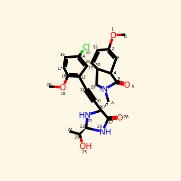 COC1=CC2C(=O)N(C[C@@]3(C#Cc4cc(Cl)ccc4OC)N[C@H](C(C)O)NC3=O)CC2C=C1